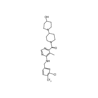 Cc1c(NCc2ccc(C(F)(F)F)c(Cl)c2)ncnc1C(=O)N1CCC(N2CCC(O)CC2)CC1